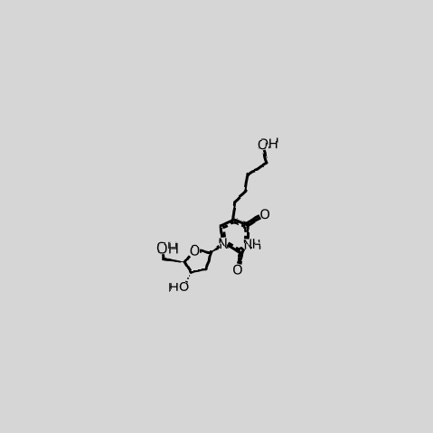 O=c1[nH]c(=O)n([C@H]2C[C@H](O)[C@@H](CO)O2)cc1CCCCO